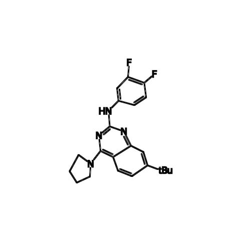 CC(C)(C)c1ccc2c(N3CCCC3)nc(Nc3ccc(F)c(F)c3)nc2c1